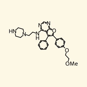 COCCOc1ccc(-c2oc3ncnc(NCCN4CCNCC4)c3c2-c2ccccc2)cc1